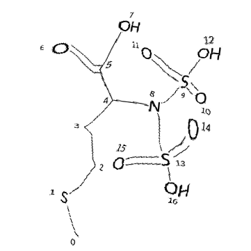 CSCCC(C(=O)O)N(S(=O)(=O)O)S(=O)(=O)O